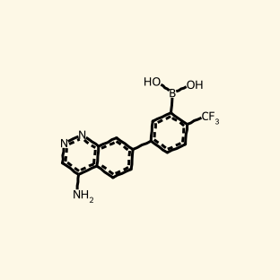 Nc1cnnc2cc(-c3ccc(C(F)(F)F)c(B(O)O)c3)ccc12